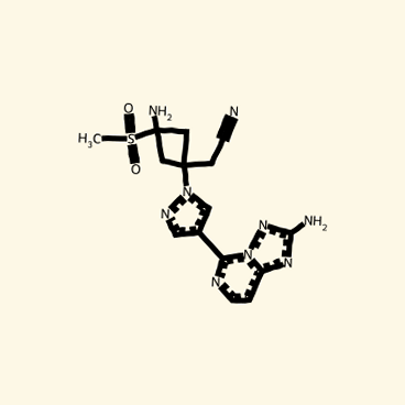 CS(=O)(=O)C1(N)CC(CC#N)(n2cc(-c3nccc4nc(N)nn34)cn2)C1